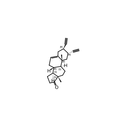 C#C[C@@H]1CC2=CC[C@@H]3[C@H](CC[C@]4(C)C(=O)CC[C@@H]34)[C@@]2(C)C[C@H]1C#C